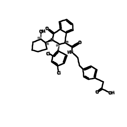 O=C(O)Cc1ccc(CCNC(=O)[C@@H]2c3ccccc3C(=O)N([C@H]3CCCC[C@@H]3O)[C@H]2c2ccc(Cl)cc2Cl)cc1